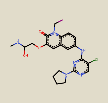 CNC(O)COc1cc2cc(Nc3nc(N4CCCC4)ncc3Cl)ccc2n(CI)c1=O